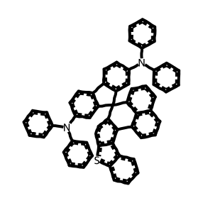 c1ccc(N(c2ccccc2)c2ccc3c(c2)C2(c4cc(N(c5ccccc5)c5ccccc5)ccc4-3)c3ccc4sc5ccccc5c4c3-c3cccc4cccc2c34)cc1